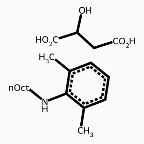 CCCCCCCCNc1c(C)cccc1C.O=C(O)CC(O)C(=O)O